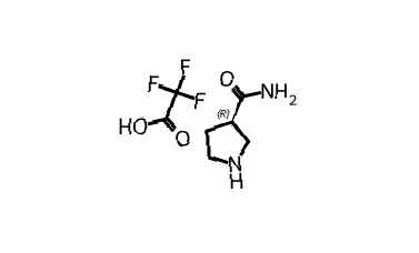 NC(=O)[C@@H]1CCNC1.O=C(O)C(F)(F)F